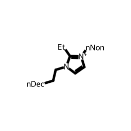 CCCCCCCCCCCCn1cc[n+](CCCCCCCCC)c1CC